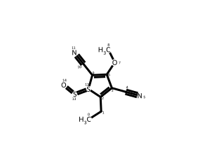 CCC1=C(C#N)C(OC)=C(C#N)S1=S=O